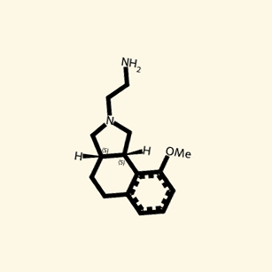 COc1cccc2c1[C@H]1CN(CCN)C[C@H]1CC2